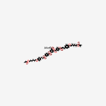 C=CC(=O)OCCCCCCOc1ccc(CCC(=O)Oc2ccc(C(=O)Oc3ccc(OC(=O)c4ccc(OC(=O)CCc5ccc(OCCCCCCOC(=O)C=C)cc5)cc4)c(C(=O)OC)c3)cc2)cc1